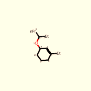 CCCC(CC)OC1C=C(CC)CCC1